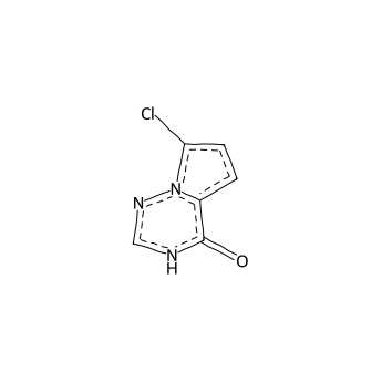 O=c1[nH]cnn2c(Cl)ccc12